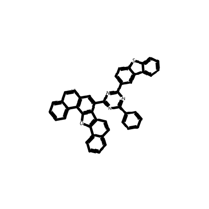 c1ccc(-c2nc(-c3ccc4sc5ccccc5c4c3)nc(-c3cc4ccc5ccccc5c4c4oc5c6ccccc6ccc5c34)n2)cc1